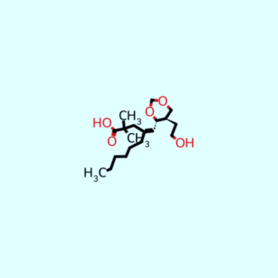 CCCCCCC(=C[C@@H]1OCOC[C@H]1CCO)CC(C)(C)C(=O)O